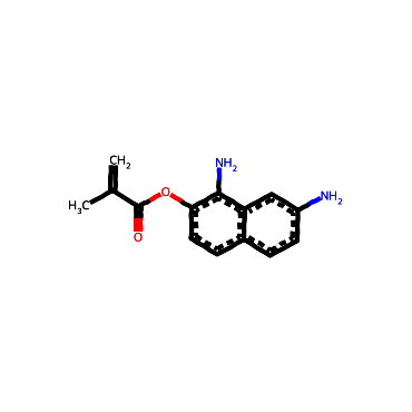 C=C(C)C(=O)Oc1ccc2ccc(N)cc2c1N